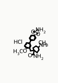 CNC1CCC(Cc2cc(-c3ccc(S(N)(=O)=O)cc3)ccc2OC)(C(N)=O)CC1.Cl